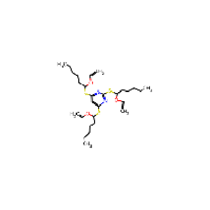 C=COC(CCCCC)Sc1cc(SC(CCCCC)OC=C)nc(SC(CCCCC)OC=C)n1